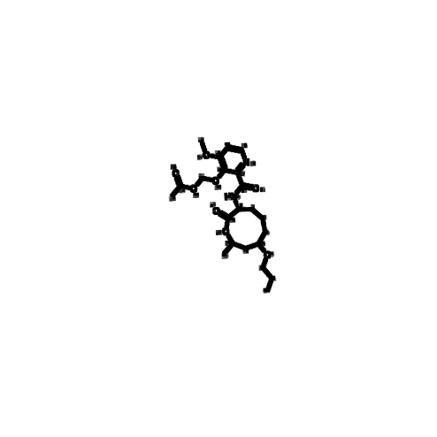 CCCOC1CCC[C@H](NC(=O)c2nccc(OC)c2OCOC(C)=O)C(=O)OC(C)C1